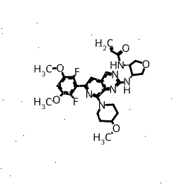 C=CC(=O)N[C@H]1COC[C@H]1Nc1ncc2cc(-c3c(F)c(OC)cc(OC)c3F)nc(N3CCC(OC)CC3)c2n1